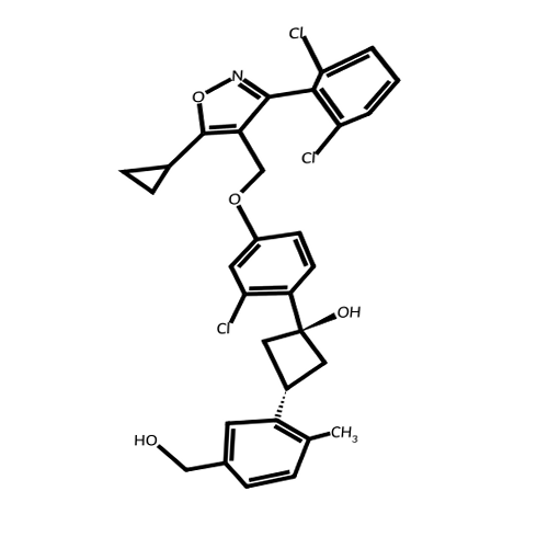 Cc1ccc(CO)cc1[C@H]1C[C@@](O)(c2ccc(OCc3c(-c4c(Cl)cccc4Cl)noc3C3CC3)cc2Cl)C1